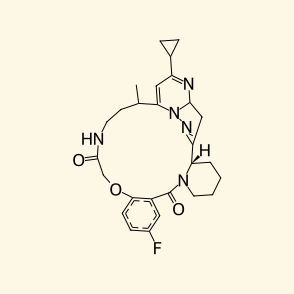 CC1CCNC(=O)COc2ccc(F)cc2C(=O)N2CCCC[C@H]2C2=NN3C1=CC(C1CC1)=NC3C2